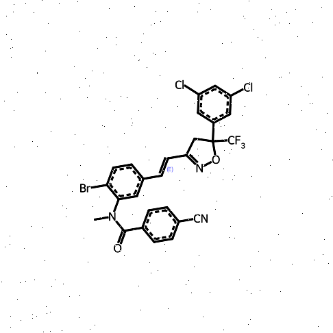 CN(C(=O)c1ccc(C#N)cc1)c1cc(/C=C/C2=NOC(c3cc(Cl)cc(Cl)c3)(C(F)(F)F)C2)ccc1Br